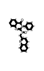 O=c1c2ccccc2nc([S+]([O-])Cc2ccc3ccccc3n2)n1-c1ccccc1